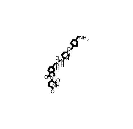 NCc1ccc(COc2ccc(NC(=O)NCc3ccc4c(c3)CN(C3CCC(=O)NC3=O)C4=O)nn2)cc1